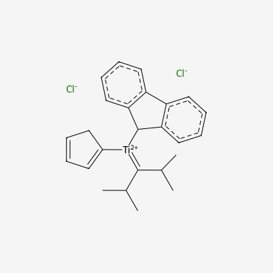 CC(C)[C](C(C)C)=[Ti+2]([C]1=CC=CC1)[CH]1c2ccccc2-c2ccccc21.[Cl-].[Cl-]